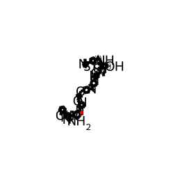 Cc1ncsc1-c1ccc([C@H](C)NC(=O)[C@@H]2C[C@@H](O)CN2C(=O)[C@@H](c2cc(N3CCC(N(C)C4CCC(OC5CC(Oc6cc(N7CC8CCN(c9cc(-c%10ccccc%10O)nnc9N)CC7C8)ccn6)C5)CC4)CC3)no2)C(C)C)cc1